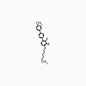 CCCCCCCc1ccc(-c2ccc(-c3ccc(C)cc3)cc2)c(F)c1F